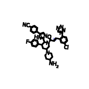 N#Cc1ccc(-c2cnc(C3C(c4ccc(F)cc4)CC(N4CCC(N)CC4)CN3C(=O)/C=C/c3cc(Cl)ccc3-n3cnnn3)[nH]2)cc1